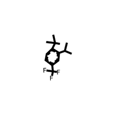 CC(C)c1cc(C(F)(F)F)ccc1C(C)(C)C